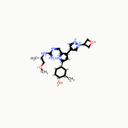 COC[C@H](C)NC(=N)/N=C\c1[nH]c([C@@H]2CC[C@@H](O)[C@H](C)C2)cc1-c1cnn(C2COC2)c1